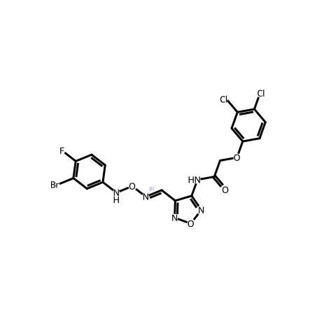 O=C(COc1ccc(Cl)c(Cl)c1)Nc1nonc1/C=N/ONc1ccc(F)c(Br)c1